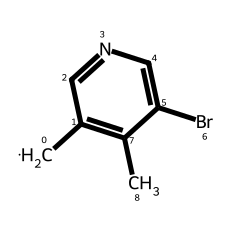 [CH2]c1cncc(Br)c1C